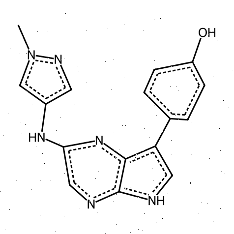 Cn1cc(Nc2cnc3[nH]cc(-c4ccc(O)cc4)c3n2)cn1